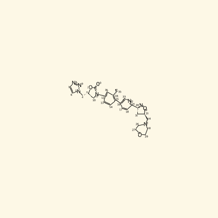 O=C1O[C@@H](Cn2ccnn2)CN1c1ccc(-c2ccc(C3=NO[C@@H](CN4CCOCC4)C3)nc2)c(F)c1